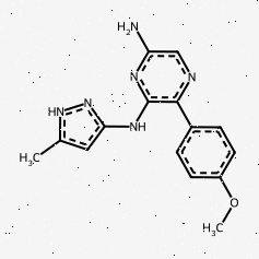 COc1ccc(-c2ncc(N)nc2Nc2cc(C)[nH]n2)cc1